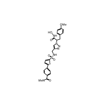 CNC(=O)c1ccc(-c2ccc(S(=O)(=O)NCc3cn(C(Cc4ccc(OC)cc4)C(=O)NO)nn3)s2)cc1